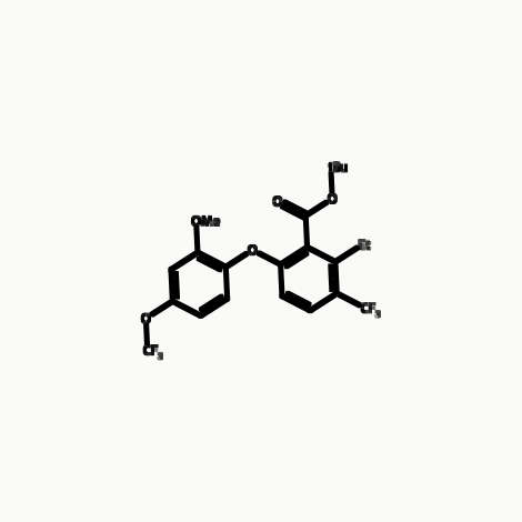 CCc1c(C(F)(F)F)ccc(Oc2ccc(OC(F)(F)F)cc2OC)c1C(=O)OC(C)(C)C